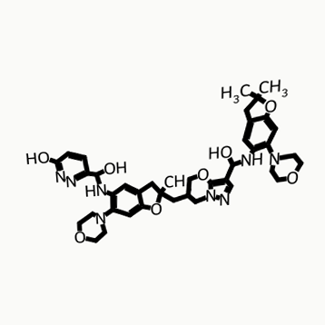 CC1(C)Cc2cc(NC(O)c3cnn4c3OCC(CC3(C)Cc5cc(NC(O)c6ccc(O)nn6)c(N6CCOCC6)cc5O3)C4)c(N3CCOCC3)cc2O1